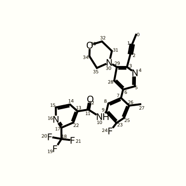 CC#Cc1ncc(-c2cc(NC(=O)c3ccnc(C(F)(F)F)c3)c(F)cc2C)cc1N1CCOCC1